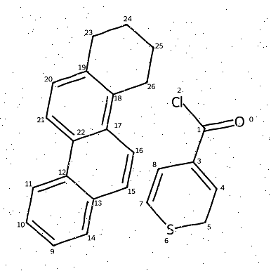 O=C(Cl)C1=CCSC=C1.c1ccc2c(c1)ccc1c3c(ccc12)CCCC3